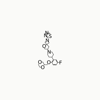 Fc1ccc(OCC2COCCO2)c(C2CCN(C3COC4(C3)CN(c3nncs3)C4)CC2)c1